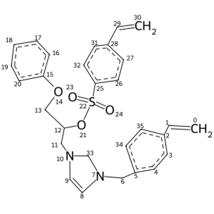 C=Cc1ccc(CN2C=CN(CC(COc3ccccc3)OS(=O)(=O)c3ccc(C=C)cc3)C2)cc1